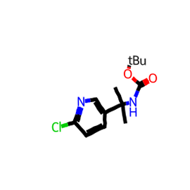 CC(C)(C)OC(=O)NC(C)(C)c1ccc(Cl)nc1